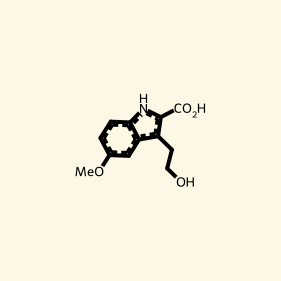 COc1ccc2[nH]c(C(=O)O)c(CCO)c2c1